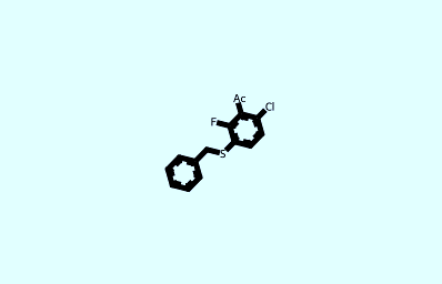 CC(=O)c1c(Cl)ccc(SCc2ccccc2)c1F